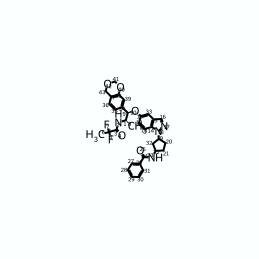 C[C@H](NC(=O)C(C)(F)F)[C@H](Oc1ccc2c(cnn2C2CCC(NC(=O)c3ccccc3)C2)c1)c1ccc2c(c1)OCOC2